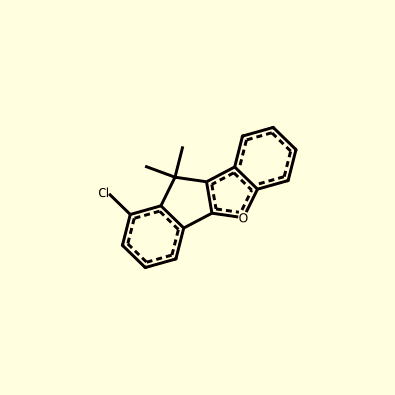 CC1(C)c2c(Cl)cccc2-c2oc3ccccc3c21